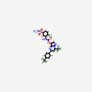 NS(=O)(=O)c1ccc(Cl)c(NC(=O)Oc2cnn3c(C(F)(F)F)cc(-c4ccc(C(F)(F)F)cc4)nc23)c1